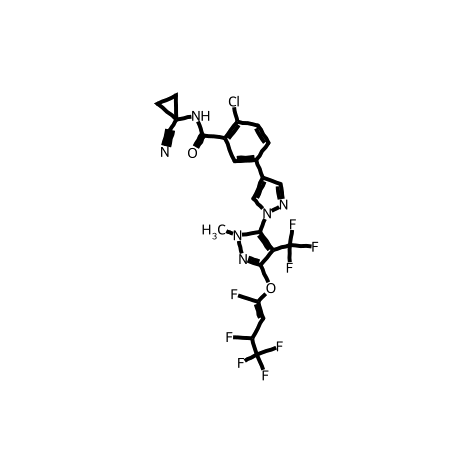 Cn1nc(O/C(F)=C/C(F)C(F)(F)F)c(C(F)(F)F)c1-n1cc(-c2ccc(Cl)c(C(=O)NC3(C#N)CC3)c2)cn1